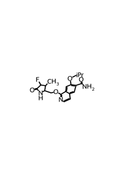 CC(C)Oc1cc2c(OCC3NC(=O)C(F)C3C)nccc2cc1C(N)=O